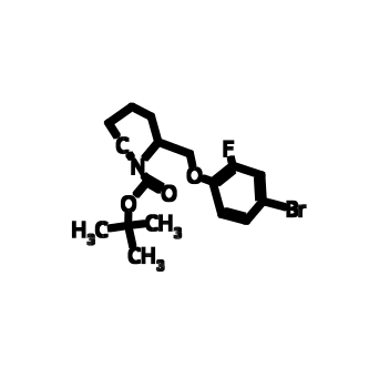 CC(C)(C)OC(=O)N1CCCCC1COc1ccc(Br)cc1F